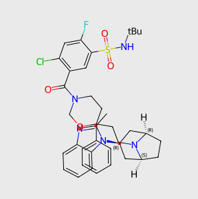 Cc1nc2ccccc2n1[C@H]1C[C@H]2CC[C@@H](C1)N2CCC1(c2ccccc2)CCN(C(=O)c2cc(S(=O)(=O)NC(C)(C)C)c(F)cc2Cl)CO1